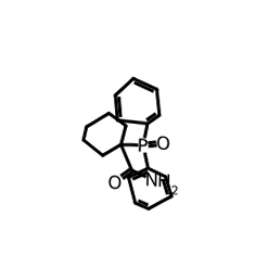 NC(=O)C1(P(=O)(c2ccccc2)c2ccccc2)CCCCC1